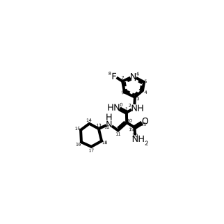 N=C(Nc1ccnc(F)c1)/C(=C\NC1CCCCC1)C(N)=O